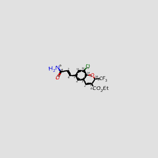 CCOC(=O)C1=Cc2cc(C=CC(N)=O)cc(Cl)c2OC1C(F)(F)F